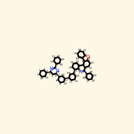 c1ccc(-c2cc(-c3cccc(-c4cccc(-c5cccc6c5nc(-c5ccccc5)c5ccc7oc8ccccc8c7c56)c4)c3)nc(-c3ccccc3)n2)cc1